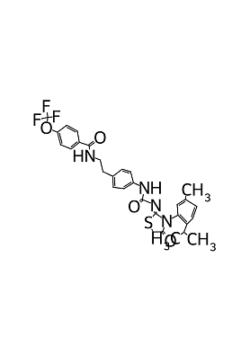 Cc1ccc(C(C)C)c(N2C(=O)CS/C2=N\C(=O)Nc2ccc(CCNC(=O)c3ccc(OC(F)(F)F)cc3)cc2)c1